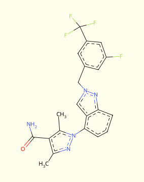 Cc1nn(-c2cccc3nn(Cc4cc(F)cc(C(F)(F)F)c4)cc23)c(C)c1C(N)=O